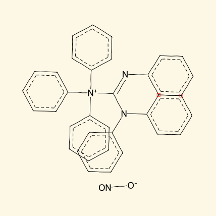 O=N[O-].c1ccc(N=C(N(c2ccccc2)c2ccccc2)[N+](c2ccccc2)(c2ccccc2)c2ccccc2)cc1